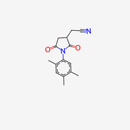 Cc1cc(C)c(N2C(=O)CC(CC#N)C2=O)cc1C